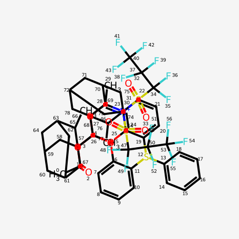 CC(=O)OC(Oc1ccccc1[S+](c1ccccc1)c1ccccc1OC(OC(C)=[N+](S(=O)(=O)C(F)(F)C(F)(F)C(F)(F)F)S(=O)(=O)C(F)(F)C(F)(F)C(F)(F)F)C12CC3CC(CC(C3)C1C)C2)C12CC3CC(CC(C3)C1C)C2